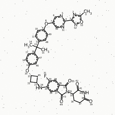 Cc1nc(-c2ncc(Oc3ccc(C(C)(C)c4ccc(O[C@H]5C[C@H](Nc6cc7c(cc6F)C(=O)N(C6CCC(=O)NC6=O)C7=O)C5)cc4)cc3)cn2)no1